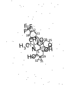 CC(C)c1nc2c(c3c1[C@@H](c1ccc(C(F)(F)F)cc1)OC31CCOCC1)C(O)CC1(CC1)[C@H]2O